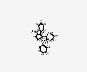 C1=CC(N2c3ccc4[nH]c5ccccc5c4c3C3CC=CCC[C@@H]32)=CCC1